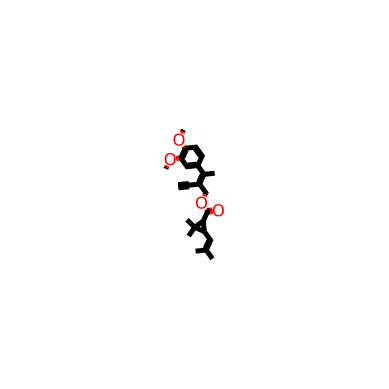 C#C/C(COC(=O)C1C(C=C(C)C)C1(C)C)=C(/C)c1ccc(OC)c(OC)c1